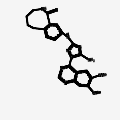 COc1cc2ncnc(-n3nc(Nc4ccc5c(c4)C(=O)NCCCC5)nc3N)c2cc1OC